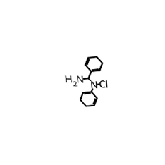 NC(C1=CCCC=C1)N(Cl)C1=CCCC=C1